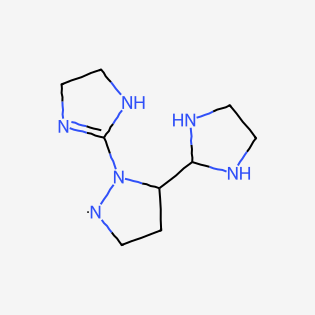 C1CC(C2NCCN2)N(C2=NCCN2)[N]1